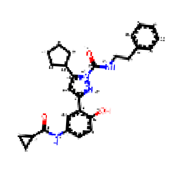 O=C(Nc1ccc(O)c(-c2cc(C3CCCC3)n(C(=O)NCCc3ccccc3)n2)c1)C1CC1